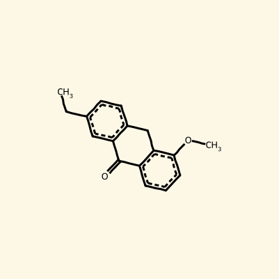 CCc1ccc2c(c1)C(=O)c1cccc(OC)c1C2